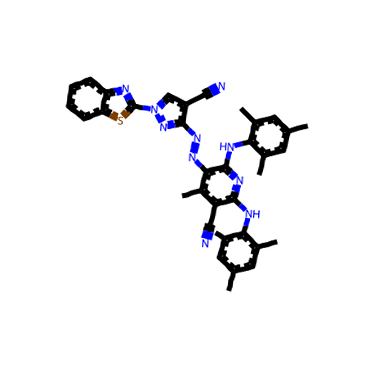 Cc1cc(C)c(Nc2nc(Nc3c(C)cc(C)cc3C)c(N=Nc3nn(-c4nc5ccccc5s4)cc3C#N)c(C)c2C#N)c(C)c1